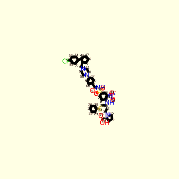 O=C(NS(=O)(=O)c1ccc(N[C@H](CCN2CCC[C@@H]2C(=O)O)CSc2ccccc2)c([N+](=O)[O-])c1)c1ccc(N2CCN(Cc3ccccc3-c3ccc(Cl)cc3)CC2)cc1